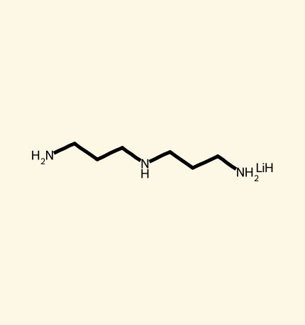 NCCCNCCCN.[LiH]